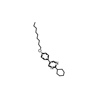 CCCCCCCCCOc1ccc(-c2cnc(C3CCCCC3)nc2)cc1